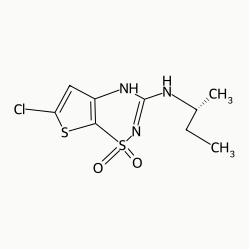 CC[C@@H](C)NC1=NS(=O)(=O)c2sc(Cl)cc2N1